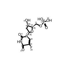 O=c1[nH]c(=O)n([C@H]2C[C@@H](O)[C@@H](COP(=O)(O)O)O2)cc1F